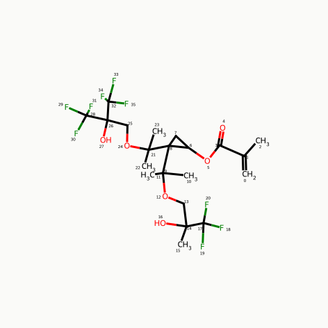 C=C(C)C(=O)OC1CC1(C(C)(C)OCC(C)(O)C(F)(F)F)C(C)(C)OCC(O)(C(F)(F)F)C(F)(F)F